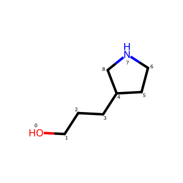 OCCCC1CCNC1